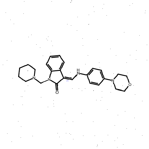 O=C1/C(=C/Nc2ccc(N3CCOCC3)cc2)c2ccccc2N1CN1CCCCC1